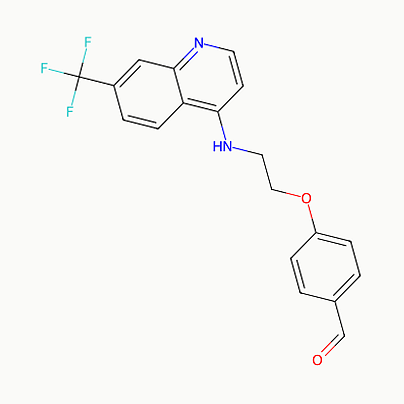 O=Cc1ccc(OCCNc2ccnc3cc(C(F)(F)F)ccc23)cc1